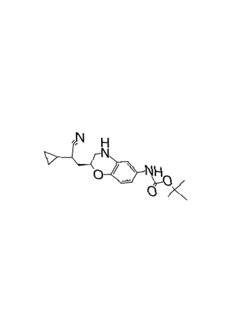 CC(C)(C)OC(=O)Nc1ccc2c(c1)NC[C@H](CC(C#N)C1CC1)O2